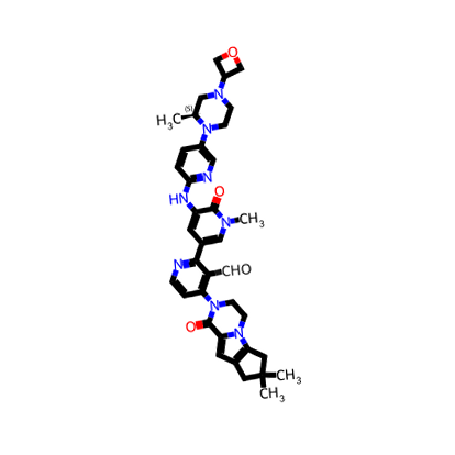 C[C@H]1CN(C2COC2)CCN1c1ccc(Nc2cc(-c3nccc(N4CCn5c(cc6c5CC(C)(C)C6)C4=O)c3C=O)cn(C)c2=O)nc1